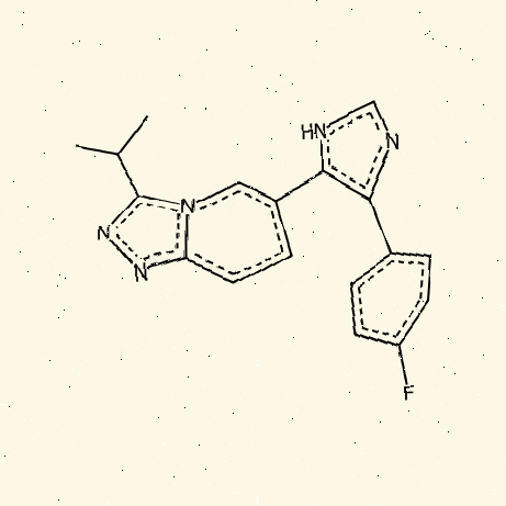 CC(C)c1nnc2ccc(-c3[nH]cnc3-c3ccc(F)cc3)cn12